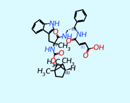 CC1(C)[C@H]2CCC1(C)[C@H](OC(=O)N[C@](C)(Cc1c[nH]c3ccccc13)C(=O)NC[C@@H](NC(=O)/C=C/C(=O)O)c1ccccc1)C2